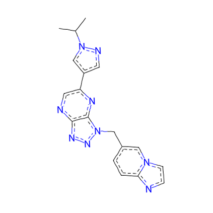 CC(C)n1cc(-c2cnc3nnn(Cc4ccc5nccn5c4)c3n2)cn1